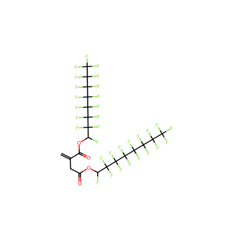 C=C(CC(=O)OC(F)C(F)(F)C(F)(F)C(F)(F)C(F)(F)C(F)(F)C(F)(F)C(F)(F)F)C(=O)OC(F)C(F)(F)C(F)(F)C(F)(F)C(F)(F)C(F)(F)C(F)(F)C(F)(F)F